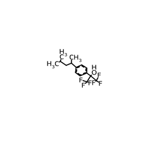 CC(C)CC(C)c1ccc(C(O)(C(F)(F)F)C(F)(F)F)cc1